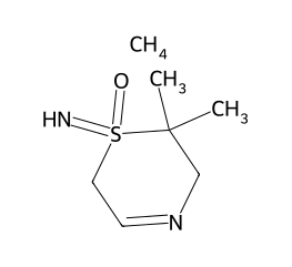 C.CC1(C)CN=CCS1(=N)=O